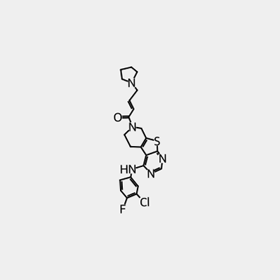 O=C(C=CCN1CCCC1)N1CCc2c(sc3ncnc(Nc4ccc(F)c(Cl)c4)c23)C1